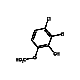 O=C(O)Oc1ccc(Cl)c(Cl)c1O